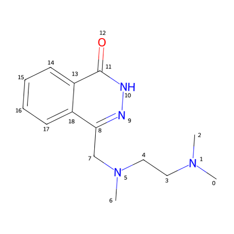 CN(C)CCN(C)Cc1n[nH]c(=O)c2ccccc12